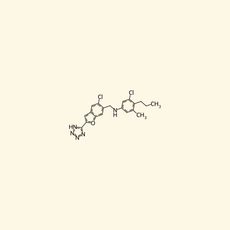 CCCc1c(C)cc(NCc2cc3oc(-c4nnn[nH]4)cc3cc2Cl)cc1Cl